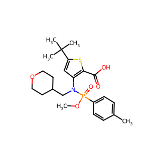 COP(=O)(c1ccc(C)cc1)N(CC1CCOCC1)c1cc(C(C)(C)C)sc1C(=O)O